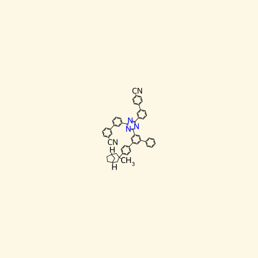 CC1(c2ccc(-c3cc(-c4ccccc4)cc(-c4nc(-c5cccc(-c6ccc(C#N)cc6)c5)nc(-c5cccc(-c6cccc(C#N)c6)c5)n4)c3)cc2)C[C@@H]2CC[C@@H](C2)C1